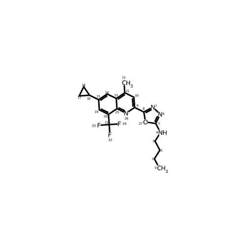 CCCCNc1nnc(-c2cc(C)c3cc(C4CC4)cc(C(F)(F)F)c3n2)o1